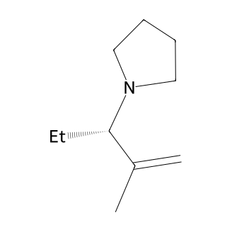 C=C(C)[C@H](CC)N1CCCC1